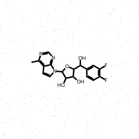 Cc1ncnc2c1ccn2C1OC(C(O)c2ccc(F)c(F)c2)C(O)C1O